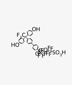 O=S(=O)(O)C(F)(F)C(F)(F)OC(F)(F)C(F)(F)S(=O)(=O)c1ccc(-c2ccc(C(c3ccc(O)cc3)(c3ccc(O)cc3)C(F)(F)F)cc2)cc1